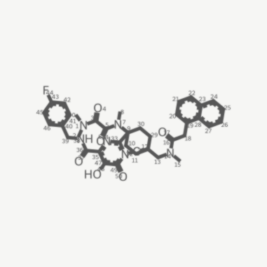 CN(C)C(=O)C(=O)N(C)C12CCC(CN(C)C(=O)Cc3cccc4ccccc34)(CC1)Cn1c2nc(C(=O)NCc2ccc(F)cc2)c(O)c1=O